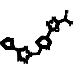 FC(F)c1nnc(-c2ccc(Cn3nnc(-c4cccs4)n3)nc2)o1